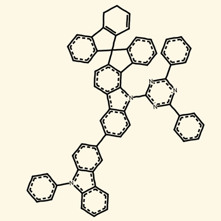 C1=CC2=C(CC1)c1ccccc1C21c2ccccc2-c2c1ccc1c3cc(-c4ccc5c(c4)c4ccccc4n5-c4ccccc4)ccc3n(-c3nc(-c4ccccc4)nc(-c4ccccc4)n3)c21